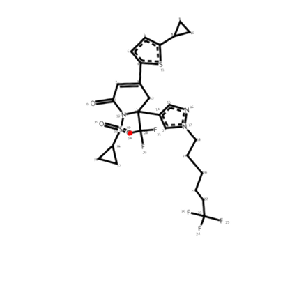 O=C1C=C(c2ccc(C3CC3)s2)CC(c2cnn(CCCCCC(F)(F)F)c2)(C(F)(F)F)N1S(=O)(=O)C1CC1